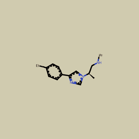 CCc1ccc(-c2cn([C@H](C)CNC(C)C)cn2)cc1